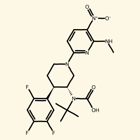 CNc1nc(N2CC[C@H](c3cc(F)c(F)cc3F)[C@@H](N(C(=O)O)C(C)(C)C)C2)ccc1[N+](=O)[O-]